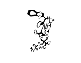 CON=C(C(=O)NC1C(=O)N2CC(CSc3nncs3)(C(=O)O)CS[C@H]12)C1=CSc2ccccc2S1